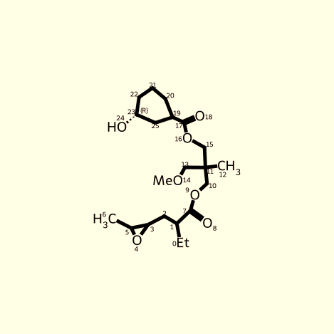 CCC(CC1OC1C)C(=O)OCC(C)(COC)COC(=O)C1CCC[C@@H](O)C1